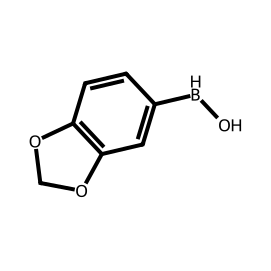 OBc1ccc2c(c1)OCO2